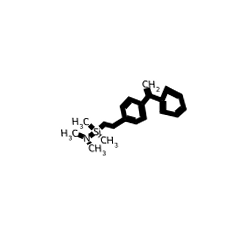 C=C(c1ccccc1)c1ccc(CC[Si](C)(C)N(C)C)cc1